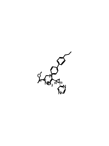 CCCc1ccc(-c2ccc(N(C[C@@H](N)[C@@H](C)OC)C(=O)[C@H]3C[C@@H]3c3cnccn3)cc2)cc1